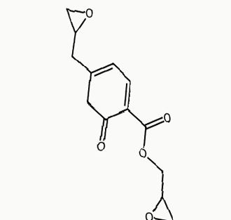 O=C1CC(CC2CO2)=CC=C1C(=O)OCC1CO1